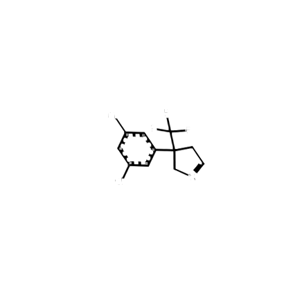 FC(F)(F)C1(c2cc(Cl)cc(Cl)c2)C[C]=NC1